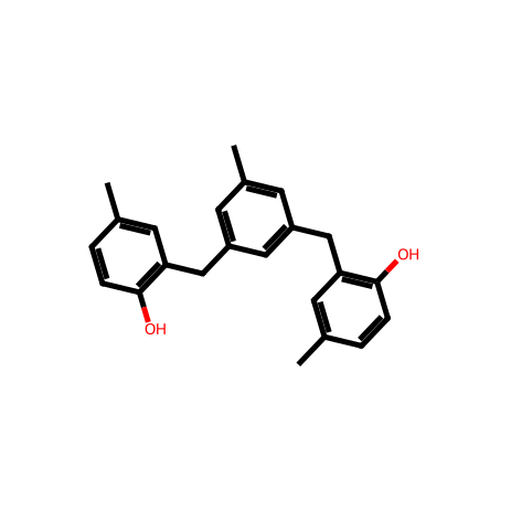 Cc1cc(Cc2cc(C)ccc2O)cc(Cc2cc(C)ccc2O)c1